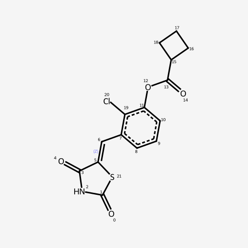 O=C1NC(=O)/C(=C/c2cccc(OC(=O)C3CCC3)c2Cl)S1